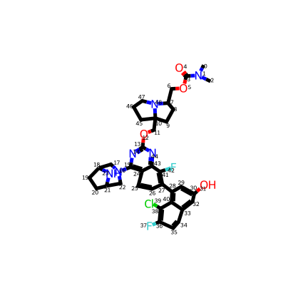 CN(C)C(=O)OCC1CCC2(COc3nc(N4CC5CCC(C4)N5)c4ccc(-c5cc(O)cc6ccc(F)c(Cl)c56)c(F)c4n3)CCCN12